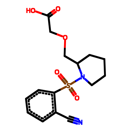 N#Cc1ccccc1S(=O)(=O)N1CCCCC1COCC(=O)O